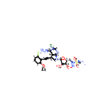 CCOc1cccc(F)c1C#Cc1cn([C@@H]2O[C@H](CNS(N)(=O)=O)[C@@H](O)[C@H]2O)c2ncnc(N)c12.Cl